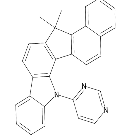 CC1(C)c2ccc3c4ccccc4n(-c4ccncn4)c3c2-c2ccc3ccccc3c21